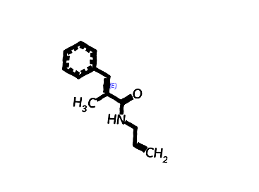 C=CCNC(=O)/C(C)=C/c1ccccc1